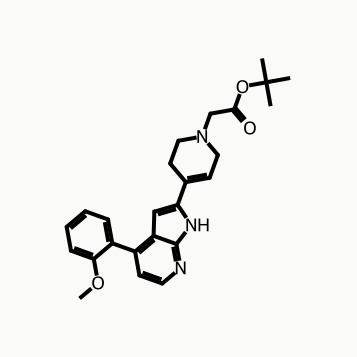 COc1ccccc1-c1ccnc2[nH]c(C3=CCN(CC(=O)OC(C)(C)C)CC3)cc12